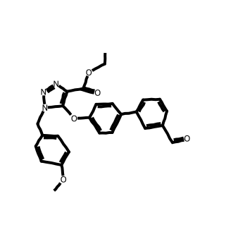 CCOC(=O)c1nnn(Cc2ccc(OC)cc2)c1Oc1ccc(-c2cccc(C=O)c2)cc1